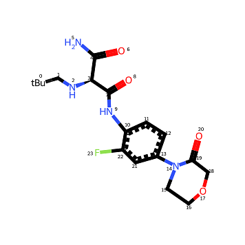 CC(C)(C)CN[C@@H](C(N)=O)C(=O)Nc1ccc(N2CCOCC2=O)cc1F